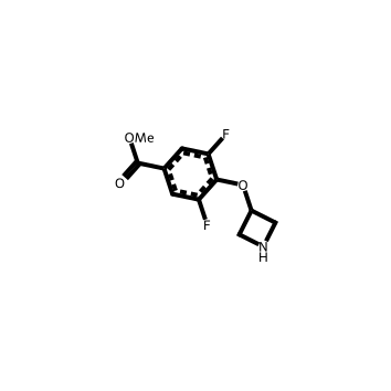 COC(=O)c1cc(F)c(OC2CNC2)c(F)c1